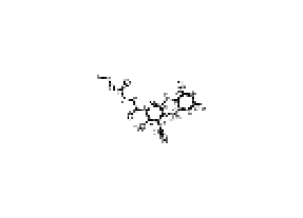 CCOC(=O)CCC(=O)c1nc(Cc2c(Cl)cc(C)cc2Cl)cc(C#N)c1O